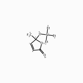 CC[Si](CC)(CC)OC1(C(F)(F)F)C=CC(=O)O1